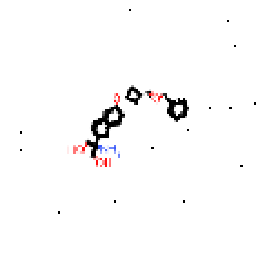 NC(CO)(CO)c1ccc2cc(O[C@H]3C[C@@H](COCc4ccccc4)C3)ccc2c1